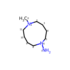 CN1CCCCN(N)CCCC1